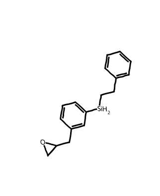 c1ccc(CC[SiH2]c2cccc(CC3CO3)c2)cc1